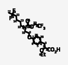 CCOC(Cc1ccc(OCCN(CCCCC(C)(F)F)C(=O)OCC(F)(F)F)cc1)C(=O)O